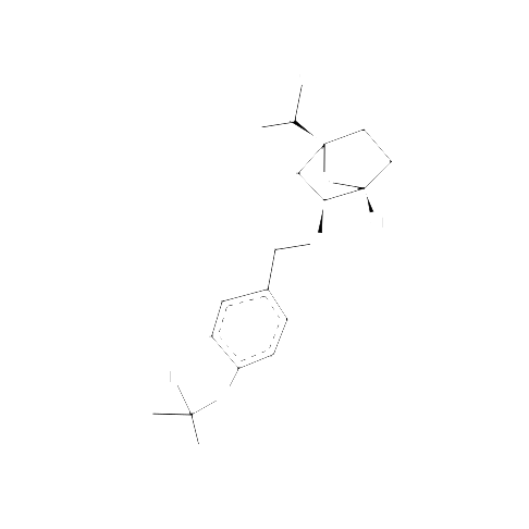 CC(C)[C@@]12CC[C@@](C)(O1)[C@@H](OCc1ccc(OC(F)(F)F)cc1)C2